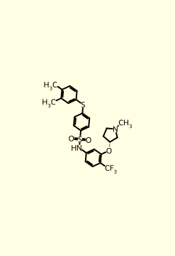 Cc1ccc(Sc2ccc(S(=O)(=O)Nc3ccc(C(F)(F)F)c(O[C@@H]4CCN(C)C4)c3)cc2)cc1C